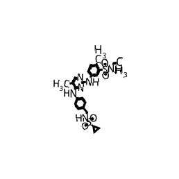 CCNS(=O)(=O)c1cc(Nc2ncc(C)c(Nc3ccc(CNS(=O)(=O)C4CC4)cc3)n2)ccc1C